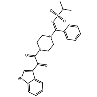 CN(C)S(=O)(=O)/N=C(\c1ccccc1)N1CCN(C(=O)C(=O)c2c[nH]c3ccccc23)CC1